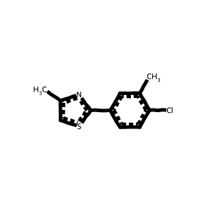 Cc1csc(-c2ccc(Cl)c(C)c2)n1